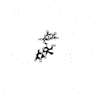 C#CC1(F)C(CO)[C@@H](COP(=O)(O)OP(=O)(O)OP(=O)(O)O)O[C@H]1n1c(C)cc(=O)[nH]c1=O